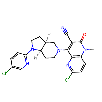 Cn1c(=O)c(C#N)c(N2CC[C@@H]3[C@@H](CCN3c3ccc(Cl)cn3)C2)c2nc(Cl)ccc21